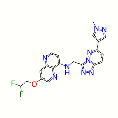 Cn1cc(-c2ccc3nnc(CNc4ccnc5cc(OCC(F)F)cnc45)n3n2)cn1